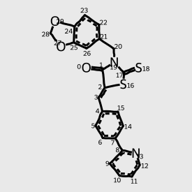 O=C1C(=Cc2ccc(-c3ccccn3)cc2)SC(=S)N1Cc1ccc2c(c1)OCO2